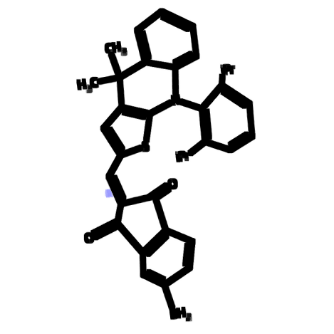 Bc1ccc2c(c1)C(=O)/C(=C/c1cc3c(s1)N(c1c(C(C)C)cccc1C(C)C)c1ccccc1C3(C)C)C2=O